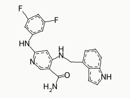 NC(=O)c1cnc(Nc2cc(F)cc(F)c2)cc1NCc1cccc2[nH]ccc12